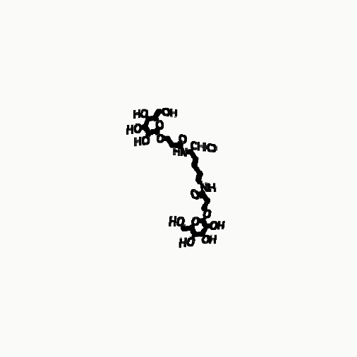 O=C[C@H](CCCCNC(=O)CCO[C@@H]1OC(CO)[C@H](O)C(O)C1O)NC(=O)CCOC1OC(CO)[C@H](O)C(O)C1O